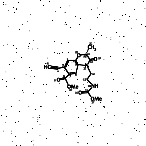 C#Cc1cc2c(cc1C(=O)OC)N(CCNC(=O)OC)C(=O)[C@@H](C)O2